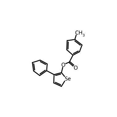 Cc1ccc(C(=O)Oc2[se]ccc2-c2ccccc2)cc1